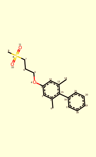 Cc1cc(OCCCS(C)(=O)=O)cc(C)c1-c1[c]cccc1